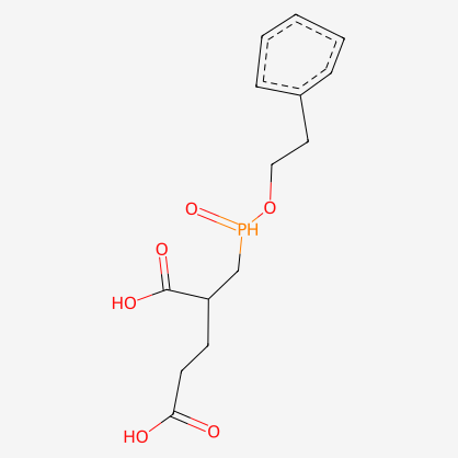 O=C(O)CCC(C[PH](=O)OCCc1ccccc1)C(=O)O